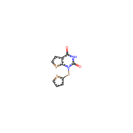 O=c1[nH]c(=O)n(Sc2cccs2)c2sccc12